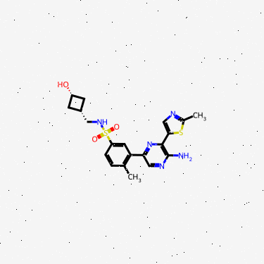 Cc1ncc(-c2nc(-c3cc(S(=O)(=O)NC[C@H]4C[C@@H](O)C4)ccc3C)cnc2N)s1